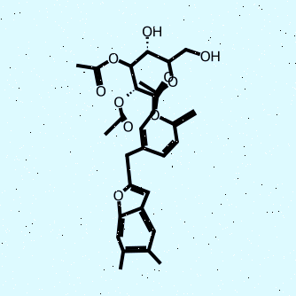 C=C(/C=C\C(=C/CC1OC(CO)[C@@H](O)C(OC(C)=O)[C@H]1OC(C)=O)Cc1cc2cc(C)c(C)cc2o1)OC(C)=O